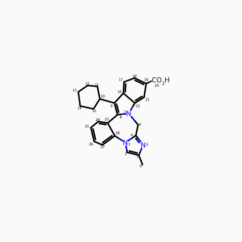 Cc1cn2c(n1)Cn1c(c(C3CCCCC3)c3ccc(C(=O)O)cc31)-c1ccccc1-2